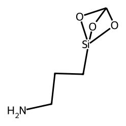 NCCC[Si]12OC(O1)O2